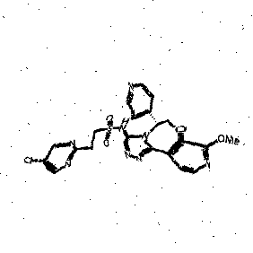 COc1nccc2c1OC[C@@H](c1ccncc1)n1c(NS(=O)(=O)CCc3ncc(Cl)cn3)nnc1-2